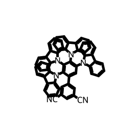 N#Cc1cc(C#N)cc(-c2cc(-n3c4ccccc4c4ccccc43)c(-n3c4ccccc4c4ccccc43)c(-n3c4ccccc4c4ccccc43)c2-n2c3ccccc3c3ccccc32)c1